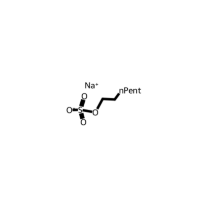 CCCCCCCOS(=O)(=O)[O-].[Na+]